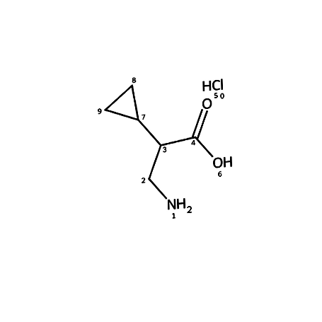 Cl.NCC(C(=O)O)C1CC1